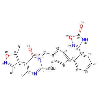 CCCCc1nc(C)c(-c2c(C)noc2C)c(=O)n1Cc1ccc(-c2ccccc2-c2noc(=O)[nH]2)cc1